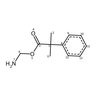 CC(C)(C(=O)OCN)c1ccccc1